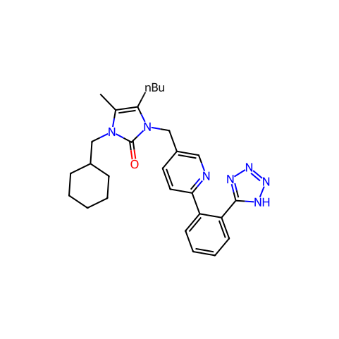 CCCCc1c(C)n(CC2CCCCC2)c(=O)n1Cc1ccc(-c2ccccc2-c2nnn[nH]2)nc1